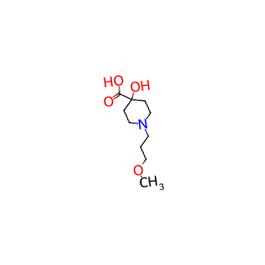 COCCCN1CCC(O)(C(=O)O)CC1